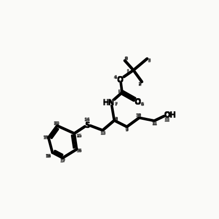 CC(C)(C)OC(=O)NC(CCCO)CSc1ccccc1